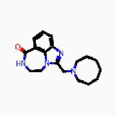 O=C1NCCn2c(CN3CCCCCCC3)nc3cccc1c32